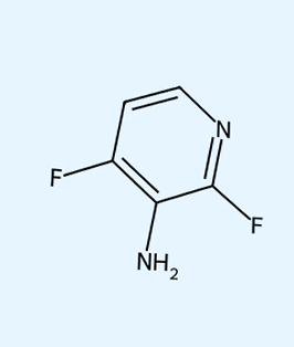 Nc1c(F)ccnc1F